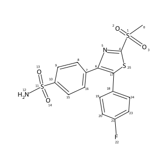 CS(=O)(=O)c1nc(-c2ccc(S(N)(=O)=O)cc2)c(-c2ccc(F)cc2)s1